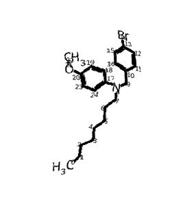 CCCCCCCCN(Cc1ccc(Br)cc1)c1ccc(OC)cc1